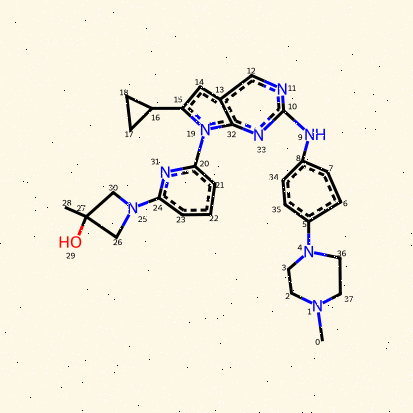 CN1CCN(c2ccc(Nc3ncc4cc(C5CC5)n(-c5cccc(N6CC(C)(O)C6)n5)c4n3)cc2)CC1